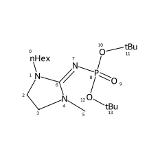 CCCCCCN1CCN(C)/C1=N\P(=O)(OC(C)(C)C)OC(C)(C)C